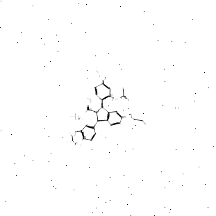 CCCOc1ccc2c(c1)C(c1ccc(OC)cc1OC(C)C)C(C(=O)O)C2c1ccc2c(c1)OCO2